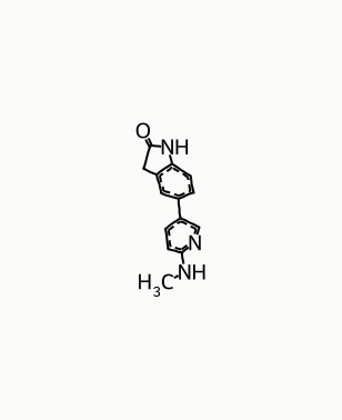 CNc1ccc(-c2ccc3c(c2)CC(=O)N3)cn1